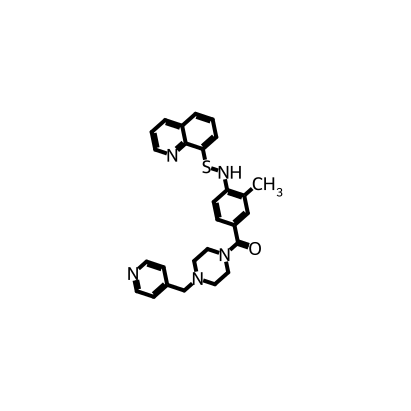 Cc1cc(C(=O)N2CCN(Cc3ccncc3)CC2)ccc1NSc1cccc2cccnc12